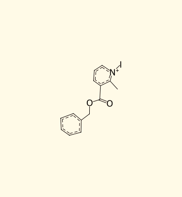 Cc1c(C(=O)OCc2ccccc2)ccc[n+]1I